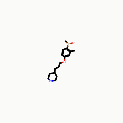 Cc1cc(OCCCC2CCNCC2)ccc1[S+](C)[O-]